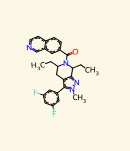 CCC1Cc2c(nn(C)c2-c2cc(F)cc(F)c2)C(CC)N1C(=O)c1ccc2ccncc2c1